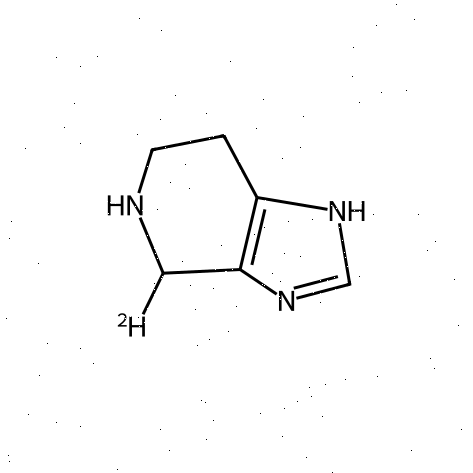 [2H]C1NCCc2[nH]cnc21